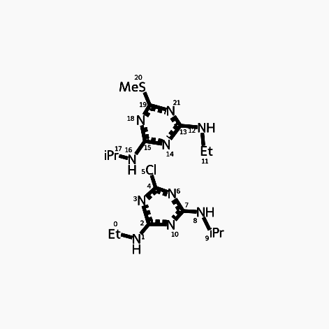 CCNc1nc(Cl)nc(NC(C)C)n1.CCNc1nc(NC(C)C)nc(SC)n1